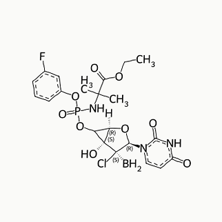 B[C@@]1(Cl)[C@H](n2ccc(=O)[nH]c2=O)O[C@@H]2C(OP(=O)(NC(C)(C)C(=O)OCC)Oc3cccc(F)c3)[C@@]21O